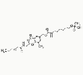 CCCOCC(=O)NCC(=O)Oc1c(C)cc(COC(=O)NCCCCCCOP(C)(=O)O)cc1C